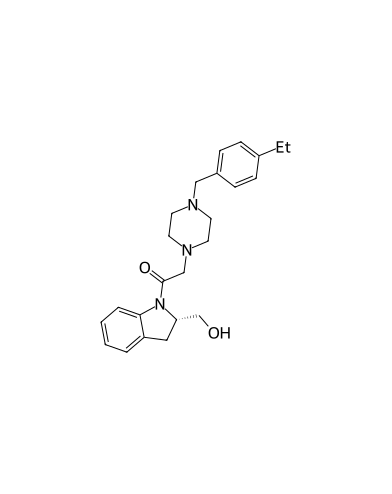 CCc1ccc(CN2CCN(CC(=O)N3c4ccccc4C[C@H]3CO)CC2)cc1